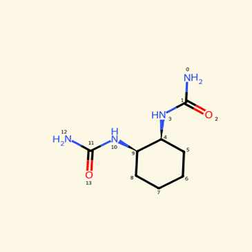 NC(=O)N[C@H]1CCCC[C@H]1NC(N)=O